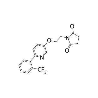 O=C1CCC(=O)N1CCOc1ccc(-c2ccccc2C(F)(F)F)nc1